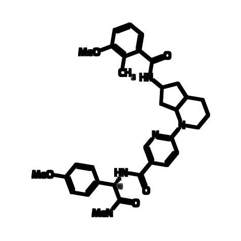 CNC(=O)[C@@H](NC(=O)c1ccc(N2CCCC3CC(NC(=O)c4cccc(OC)c4C)CC32)nc1)c1ccc(OC)cc1